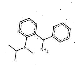 CC(C)N(C)c1ncccc1C(N)c1ccccc1